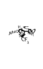 COc1ccc(C2=NNC(=O)CC2C)n2cc(C(F)(F)F)nc12